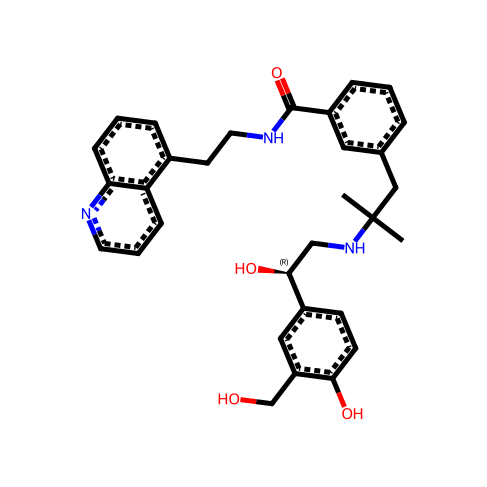 CC(C)(Cc1cccc(C(=O)NCCc2cccc3ncccc23)c1)NC[C@H](O)c1ccc(O)c(CO)c1